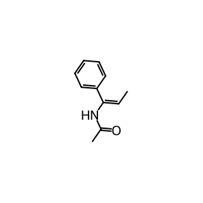 C/C=C(/NC(C)=O)c1ccccc1